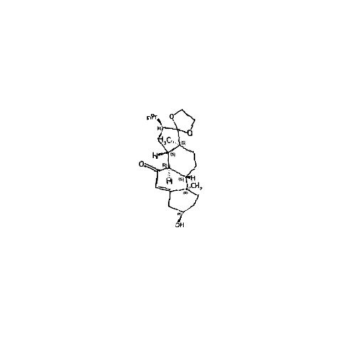 CCC[C@@H]1C[C@H]2[C@@H]3C(=O)C=C4C[C@H](O)CC[C@]4(C)[C@H]3CC[C@]2(C)C12OCCO2